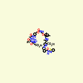 Cc1c(-c2ccc(N3CCc4cccc(C(=O)Nc5nc6ccccc6s5)c4C3)nc2C(=O)O)cnn1CC12CC3(C)CC(C)(C1)CC(OCCNC(=O)OCc1ccc(NC(=O)C(C)NC(=O)C(NC(=O)C(N)CS(=O)(=O)O)C(C)C)cc1)(C3)C2